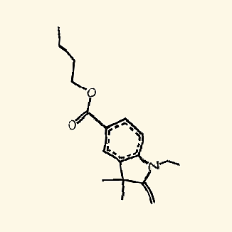 C=C1N(C)c2ccc(C(=O)OCCCC)cc2C1(C)C